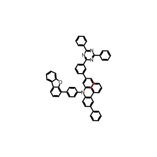 c1ccc(-c2ccc(N(c3ccc(-c4cccc5c4oc4ccccc45)cc3)c3cccc(-c4cccc(-c5nc(-c6ccccc6)nc(-c6ccccc6)n5)c4)c3)c(-c3ccccc3)c2)cc1